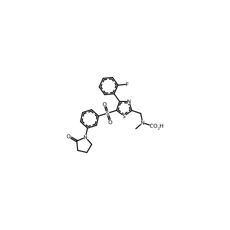 CN(Cc1nc(-c2ccccc2F)c(S(=O)(=O)c2cccc(N3CCCC3=O)c2)s1)C(=O)O